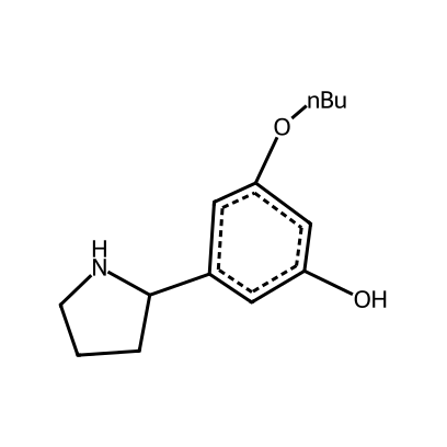 CCCCOc1cc(O)cc(C2CCCN2)c1